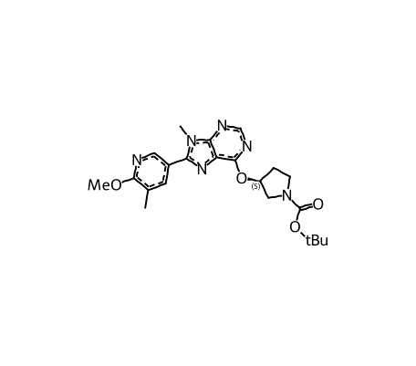 COc1ncc(-c2nc3c(O[C@H]4CCN(C(=O)OC(C)(C)C)C4)ncnc3n2C)cc1C